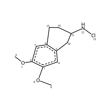 COc1cc2c(cc1OC)CC(NCl)CC2